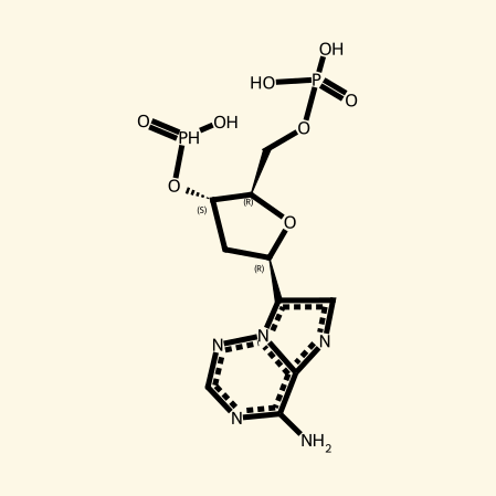 Nc1ncnn2c([C@H]3C[C@H](O[PH](=O)O)[C@@H](COP(=O)(O)O)O3)cnc12